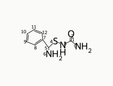 NC(=O)NSC(N)c1ccccc1